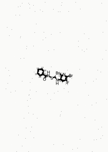 O=C(NSCNc1cc(F)c(Br)nc1Br)c1ccccc1